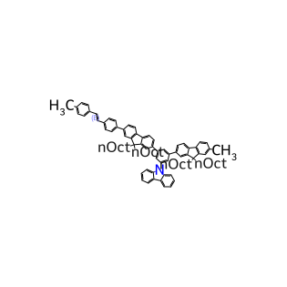 CCCCCCCCC1(CCCCCCCC)c2cc(C)ccc2-c2ccc(-c3cc(-c4ccc5c(c4)C(CCCCCCCC)(CCCCCCCC)c4cc(-c6ccc(/C=C/c7ccc(C)cc7)cc6)ccc4-5)cc(-n4c5ccccc5c5ccccc54)c3)cc21